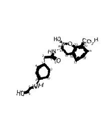 O=C(C[C@H]1CC[C@H](NCCO)CC1)N[C@H]1Cc2cccc(C(=O)O)c2OB1O